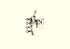 CC(C)(C)OC(=O)NCC(COCC(COCC(COCC(COCC(COCC(O)CN(C[C@H](O)[C@@H](O)[C@H](O)[C@H](O)CO)C[C@H](O)[C@@H](O)[C@H](O)[C@H](O)CO)OCc1ccccc1)OCc1ccccc1)OCc1ccccc1)OCc1ccccc1)OCc1ccccc1